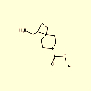 CC(C)(C)OC(=O)N1CCC2(CCC2CN)CC1